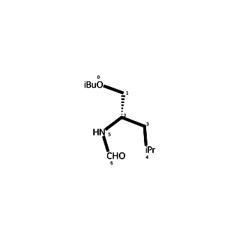 CC(C)COC[C@H](CC(C)C)NC=O